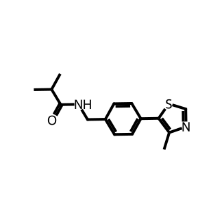 Cc1ncsc1-c1ccc(CNC(=O)C(C)C)cc1